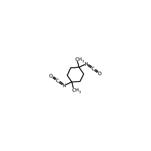 CC1(N=C=O)CCC(C)(N=C=O)CC1